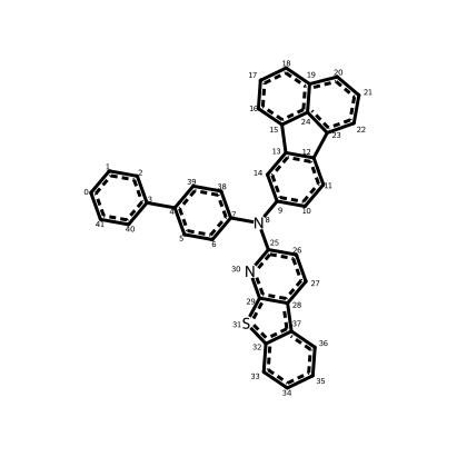 c1ccc(-c2ccc(N(c3ccc4c(c3)-c3cccc5cccc-4c35)c3ccc4c(n3)sc3ccccc34)cc2)cc1